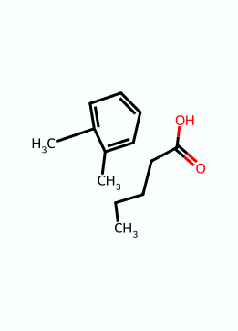 CCCCC(=O)O.Cc1ccccc1C